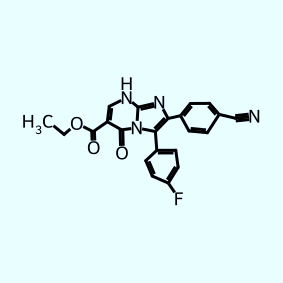 CCOC(=O)c1c[nH]c2nc(-c3ccc(C#N)cc3)c(-c3ccc(F)cc3)n2c1=O